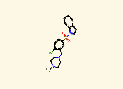 CCN1CCN(Cc2cc(S(=O)(=O)n3ccc4ccccc43)ccc2Br)CC1